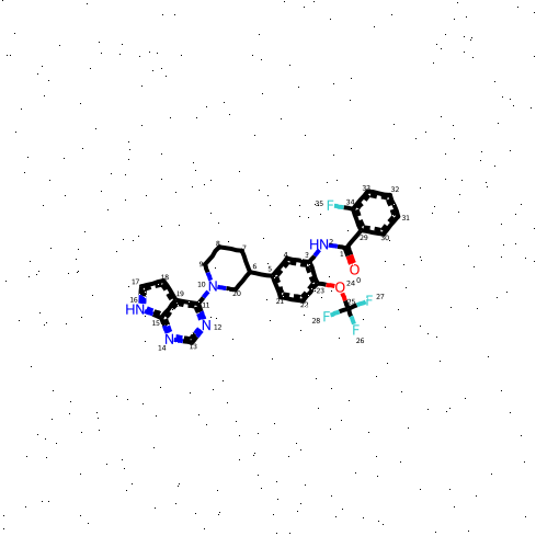 O=C(Nc1cc(C2CCCN(c3ncnc4[nH]ccc34)C2)ccc1OC(F)(F)F)c1ccccc1F